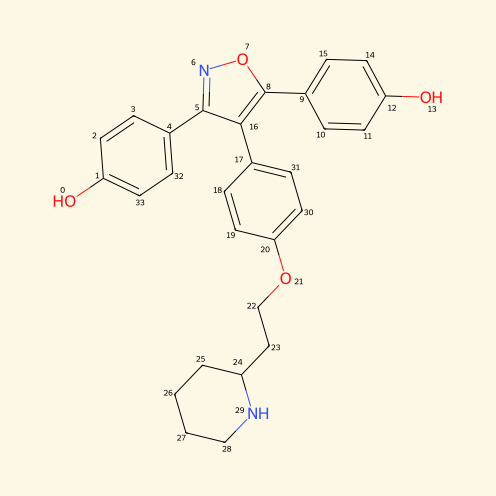 Oc1ccc(-c2noc(-c3ccc(O)cc3)c2-c2ccc(OCCC3CCCCN3)cc2)cc1